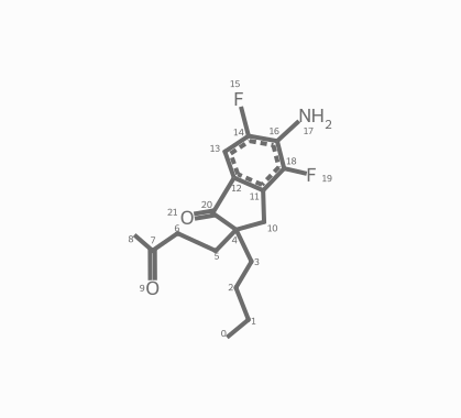 CCCCC1(CCC(C)=O)Cc2c(cc(F)c(N)c2F)C1=O